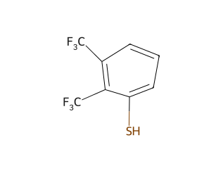 FC(F)(F)c1cccc(S)c1C(F)(F)F